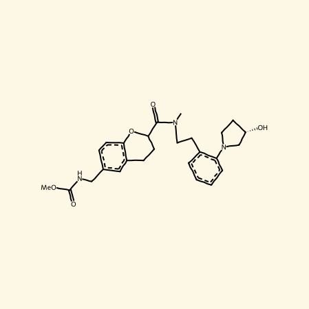 COC(=O)NCc1ccc2c(c1)CCC(C(=O)N(C)CCc1ccccc1N1CC[C@H](O)C1)O2